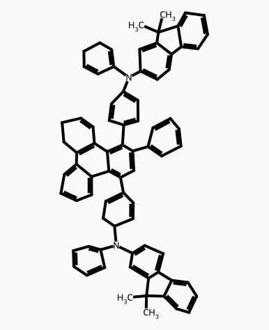 CC1(C)c2ccccc2-c2ccc(N(C3=CCCC=C3)c3ccc(-c4c(-c5ccccc5)cc(C5=CCC(N(c6ccccc6)c6ccc7c(c6)C(C)(C)c6ccccc6-7)C=C5)c5c4c4c(c6ccccc65)CCC=C4)cc3)cc21